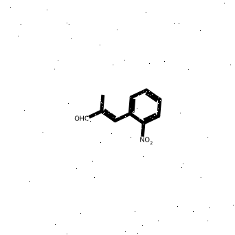 C/C(C=O)=C\c1ccccc1[N+](=O)[O-]